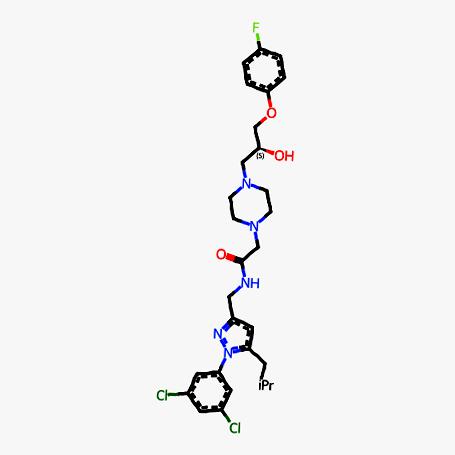 CC(C)Cc1cc(CNC(=O)CN2CCN(C[C@H](O)COc3ccc(F)cc3)CC2)nn1-c1cc(Cl)cc(Cl)c1